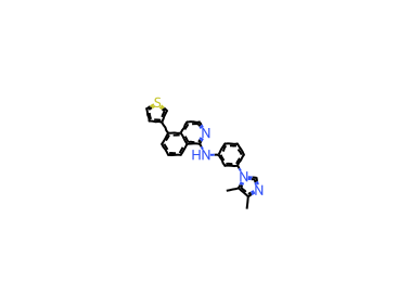 Cc1ncn(-c2cccc(Nc3nccc4c(-c5ccsc5)cccc34)c2)c1C